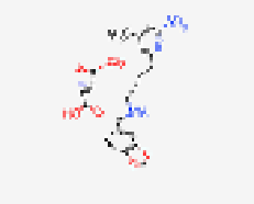 Cc1cc(N)nc(CCCCNCc2ccc3c(c2)OCO3)c1.O=C(O)/C=C/C(=O)O